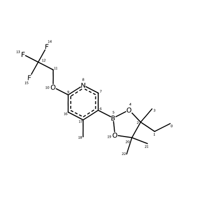 CCC1(C)OB(c2cnc(OCC(F)(F)F)cc2C)OC1(C)C